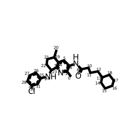 Cc1nc2c(cc1NC(=O)CCCC1CCCCC1)C(C)CCC2Nc1cccc(Cl)c1